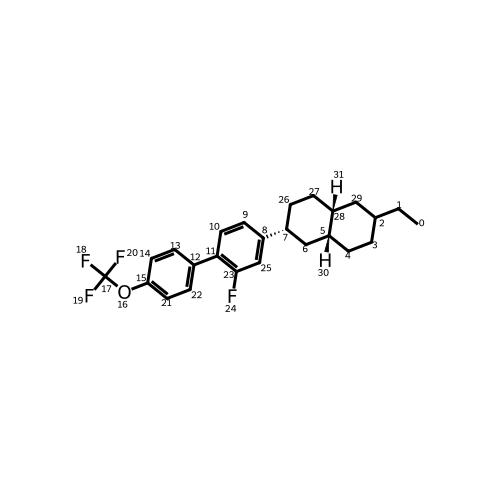 CCC1CC[C@@H]2C[C@H](c3ccc(-c4ccc(OC(F)(F)F)cc4)c(F)c3)CC[C@@H]2C1